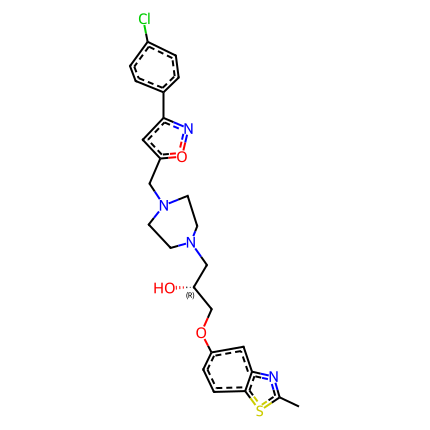 Cc1nc2cc(OC[C@H](O)CN3CCN(Cc4cc(-c5ccc(Cl)cc5)no4)CC3)ccc2s1